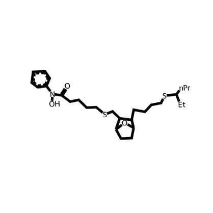 CCCC(CC)SCCCCC1C2CCC(O2)C1CSCCCCC(=O)N(O)c1ccccc1